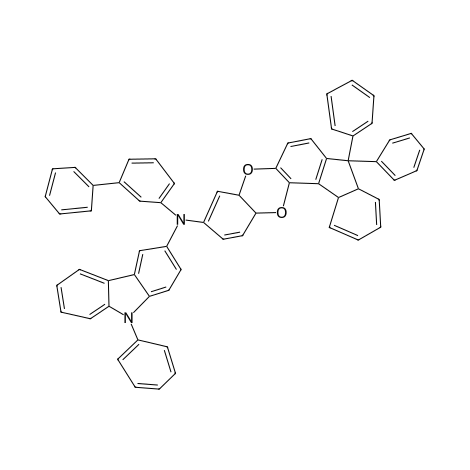 C1=CC2c3c(ccc4c3OC3C=CC(N(c5cccc(-c6ccccc6)c5)c5ccc6c(c5)c5ccccc5n6-c5ccccc5)=CC3O4)C(c3ccccc3)(c3ccccc3)C2C=C1